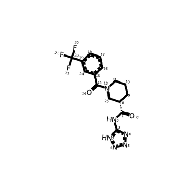 O=C(Nc1nnn[nH]1)[C@H]1CCCN(C(=O)c2cccc(C(F)(F)F)c2)C1